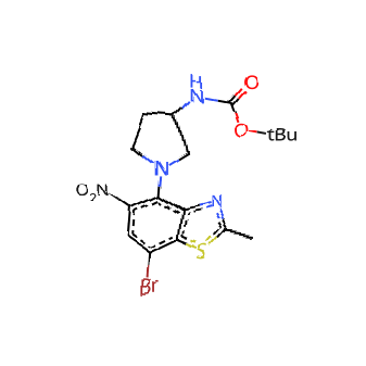 Cc1nc2c(N3CCC(NC(=O)OC(C)(C)C)C3)c([N+](=O)[O-])cc(Br)c2s1